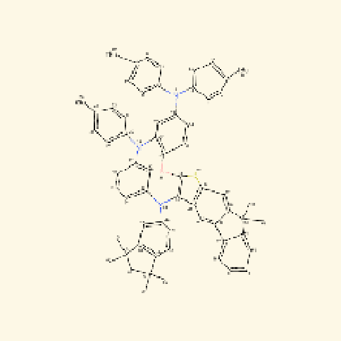 CC(C)(C)c1ccc(N(c2ccc(C(C)(C)C)cc2)c2ccc3c(c2)N(c2ccc(C(C)(C)C)cc2)c2cccc4c2B3c2sc3cc5c(cc3c2N4c2ccc3c(c2)C(C)(C)CC3(C)C)-c2ccccc2C5(C)C)cc1